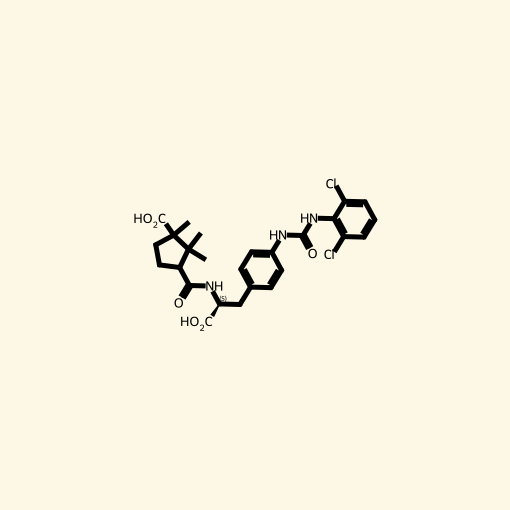 CC1(C(=O)O)CCC(C(=O)N[C@@H](Cc2ccc(NC(=O)Nc3c(Cl)cccc3Cl)cc2)C(=O)O)C1(C)C